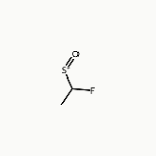 CC(F)[S+]=O